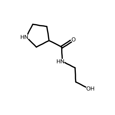 O=C(NCCO)C1CCNC1